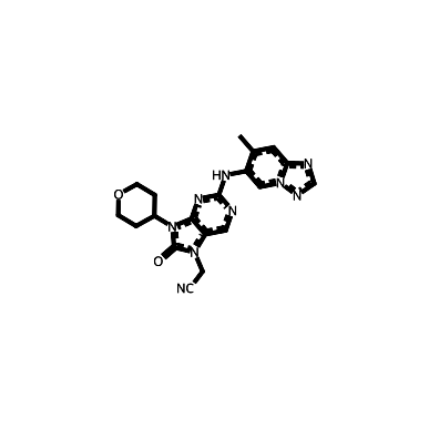 Cc1cc2ncnn2cc1Nc1ncc2c(n1)n(C1CCOCC1)c(=O)n2CC#N